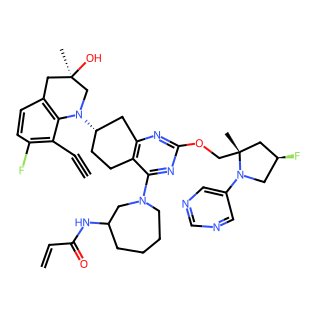 C#Cc1c(F)ccc2c1N([C@H]1CCc3c(nc(OC[C@]4(C)C[C@@H](F)CN4c4cncnc4)nc3N3CCCCC(NC(=O)C=C)C3)C1)C[C@](C)(O)C2